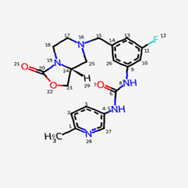 Cc1ccc(NC(=O)Nc2cc(F)cc(CN3CCN4C(=O)OC[C@H]4C3)c2)cn1